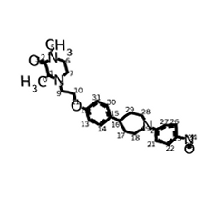 C[C@@H]1C(=O)N(C)CCN1CCOc1ccc(C2CCN(c3ccc(N=O)cc3)CC2)cc1